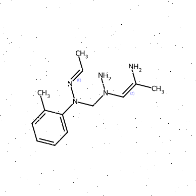 C/C=N/N(CN(N)/C=C(/C)N)c1ccccc1C